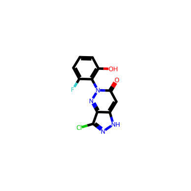 O=c1cc2[nH]nc(Cl)c2nn1-c1c(O)cccc1F